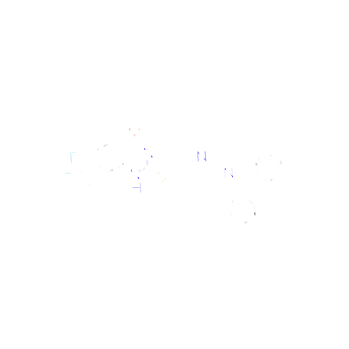 O=c1c2ccc(C(F)(F)F)cc2[nH]c(=S)n1CCCN1CCN(C(c2ccccc2)c2ccccc2)CC1